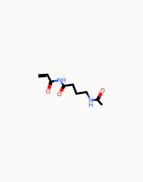 C=CC(=O)NC(=O)CCCNC(C)=O